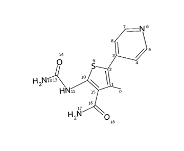 Cc1c(-c2ccncc2)sc(NC(N)=O)c1C(N)=O